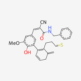 C=C1CC=CC(c2cc(C=C(C#N)C(=O)NCc3ccccc3)cc(OC)c2O)=C1CCC=S